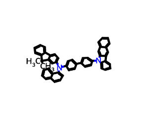 CC1(C)c2ccccc2-c2ccc(N(c3ccc(-c4ccc(-n5c6ccccc6c6cc7ccccc7cc65)cc4)cc3)c3cccc4ccccc34)cc21